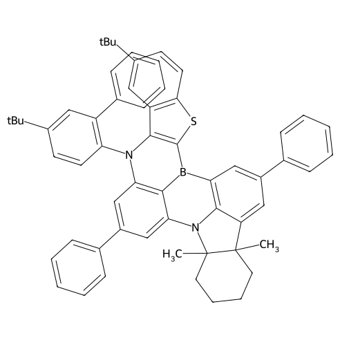 CC(C)(C)c1ccc(N2c3cc(-c4ccccc4)cc4c3B(c3cc(-c5ccccc5)cc5c3N4C3(C)CCCCC53C)c3sc4ccc(C(C)(C)C)cc4c32)c(-c2ccccc2)c1